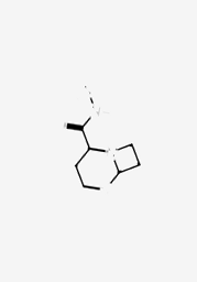 NNC(=O)C1CCSC2CCN21